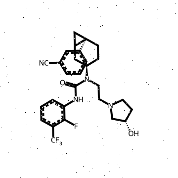 N#Cc1cccc([C@]23CC[C@@H](N(CCN4CC[C@H](O)C4)C(=O)Nc4cccc(C(F)(F)F)c4F)CC2C3)c1